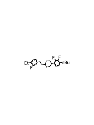 CCCCc1ccc(C2CCC(CCc3ccc(CC)c(F)c3)CC2)c(F)c1F